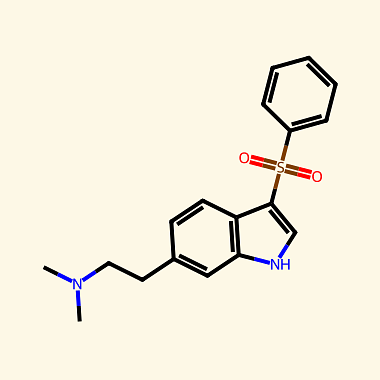 CN(C)CCc1ccc2c(S(=O)(=O)c3ccccc3)c[nH]c2c1